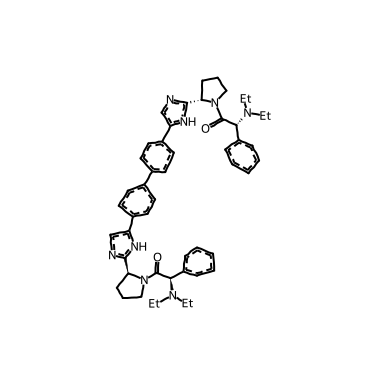 CCN(CC)[C@@H](C(=O)N1CCC[C@H]1c1ncc(-c2ccc(-c3ccc(-c4cnc([C@@H]5CCCN5C(=O)[C@@H](c5ccccc5)N(CC)CC)[nH]4)cc3)cc2)[nH]1)c1ccccc1